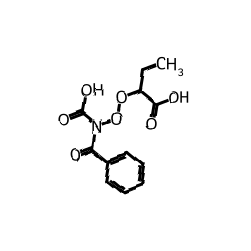 CCC(OON(C(=O)O)C(=O)c1ccccc1)C(=O)O